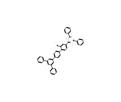 O=c1oc2cc(-c3cc(-c4ccccc4)cc(-c4ccccc4)c3)ccc2c2ccc(-c3nc(-c4ccccc4)nc(-c4ccccc4)n3)cc12